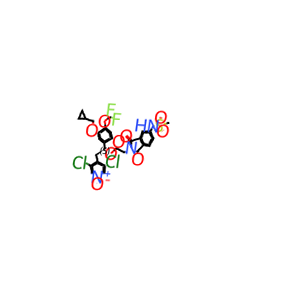 CS(=O)(=O)Nc1ccc2c(c1)C(=O)N(CC(=O)O[C@@H](Cc1c(Cl)c[n+]([O-])cc1Cl)c1ccc(OC(F)F)c(OCC3CC3)c1)C2=O